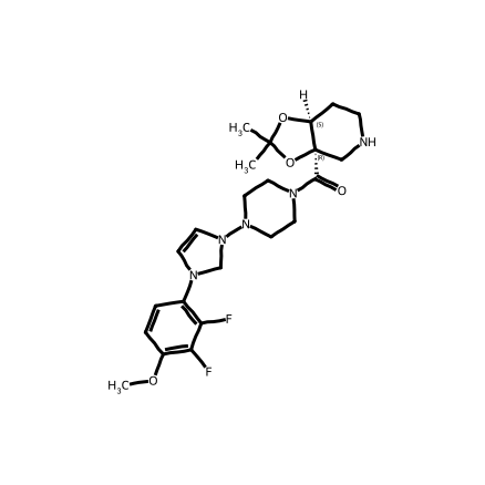 COc1ccc(N2C=CN(N3CCN(C(=O)[C@@]45CNCC[C@@H]4OC(C)(C)O5)CC3)C2)c(F)c1F